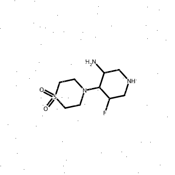 NC1CNCC(F)C1N1CCS(=O)(=O)CC1